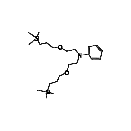 C[Si](C)(C)CCCOCCN(CCOCCC[Si](C)(C)C)c1ccccc1